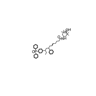 CCC(CC(C/C=C/CCCC(=O)NC1CC(C)(C)N(O)C(C)(C)C1)c1ccccc1)c1ccc(P(=O)(c2ccccc2)c2ccccc2)cc1